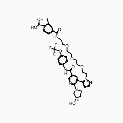 Cc1cc(C(=O)NCCOCCOCCOCCn2nccc2-c2cc(C(=O)Nc3ccc(OC(F)(F)Cl)cc3)cnc2N2CC[C@@H](O)C2)ccc1B(O)O